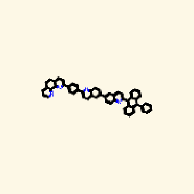 c1ccc(-c2c3ccccc3c(-c3ccc4cc(-c5ccc6nc(-c7ccc(-c8ccc9ccc%10cccnc%10c9n8)cc7)ccc6c5)ccc4n3)c3ccccc23)cc1